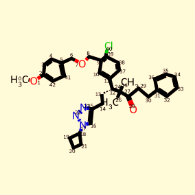 COc1ccc(COCc2cc([C@@H](CCc3cn(C4CCC4)nn3)C(C)(C)C(=O)CCc3ccccc3)ccc2Cl)cc1